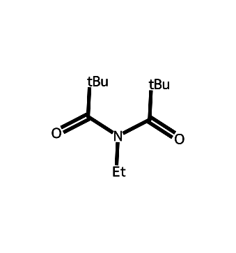 CCN(C(=O)C(C)(C)C)C(=O)C(C)(C)C